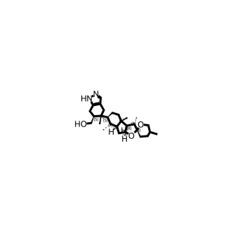 CC1CC[C@@]2(OC1)O[C@H]1C[C@H]3[C@H](C)[C@@H]([C@@]4(C)Cc5cn[nH]c5C[C@@H]4CO)CC[C@]3(C)[C@H]1[C@@H]2C